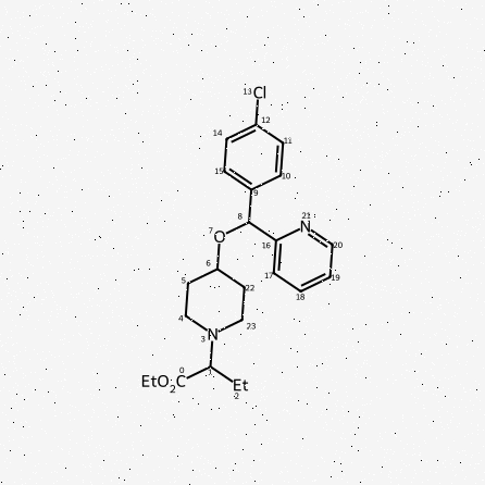 CCOC(=O)C(CC)N1CCC(OC(c2ccc(Cl)cc2)c2ccccn2)CC1